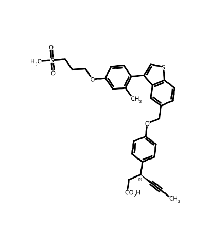 CC#C[C@@H](CC(=O)O)c1ccc(OCc2ccc3scc(-c4ccc(OCCCS(C)(=O)=O)cc4C)c3c2)cc1